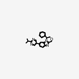 CC(C)c1ncc(-c2ccc3nc4n(c3c2)C(c2ccccc2)COC4)cn1